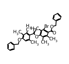 Cc1cc(OCc2ccccc2)c(C)c(C)c1C(=O)Oc1c(C)c(C)c(C(=O)OCc2ccccc2)c(Br)c1C